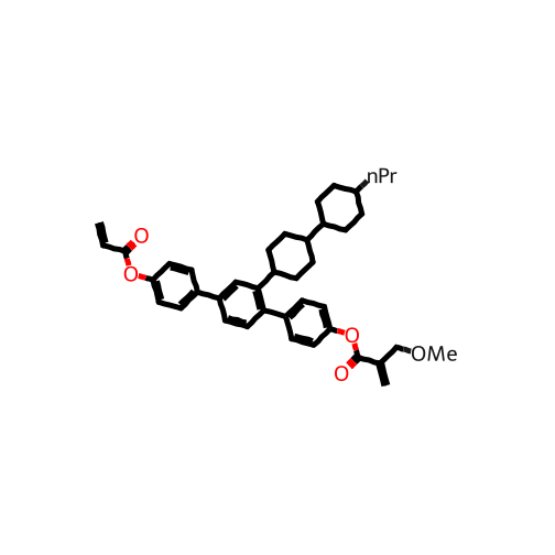 C=CC(=O)Oc1ccc(-c2ccc(-c3ccc(OC(=O)C(=C)COC)cc3)c(C3CCC(C4CCC(CCC)CC4)CC3)c2)cc1